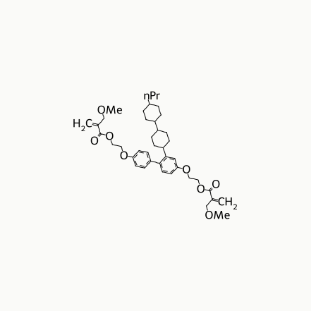 C=C(COC)C(=O)OCCOc1ccc(-c2ccc(OCCOC(=O)C(=C)COC)cc2C2CCC(C3CCC(CCC)CC3)CC2)cc1